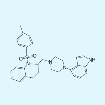 Cc1ccc(S(=O)(=O)N2c3ccccc3CCC2CN2CCN(c3cccc4[nH]ccc34)CC2)cc1